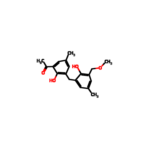 COCc1cc(C)cc(Cc2cc(C)cc(C(C)=O)c2O)c1O